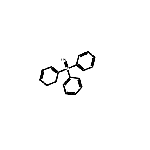 N=P(C1=CC=CCC1)(c1ccccc1)c1ccccc1